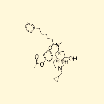 CC(=O)Oc1cccc([C@@]23CCN(CC4CC4)C[C@H]2C(O)C[C@H](N(C)C(=O)CCCCCc2ccccc2)C3)c1